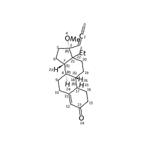 C=C=C[C@]1(OC)CC[C@H]2[C@@H]3CCC4=CC(=O)CC[C@@H]4[C@H]3CCC21CC